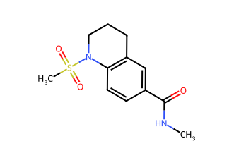 CNC(=O)c1ccc2c(c1)CCCN2S(C)(=O)=O